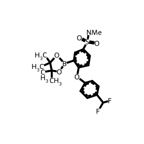 CNS(=O)(=O)c1ccc(Oc2ccc(C(F)F)cc2)c(B2OC(C)(C)C(C)(C)O2)c1